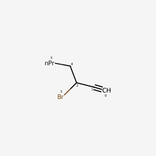 C#CC(Br)CCCC